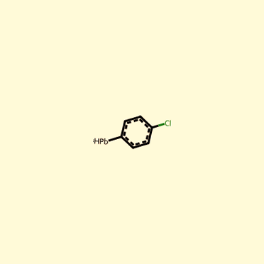 Clc1cc[c]([PbH])cc1